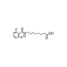 O=C(O)CCCCCCCNC(=O)c1c(F)cccc1F